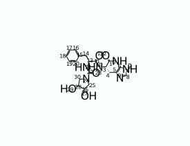 NC(=O)[C@H](Cc1c[nH]cn1)NC(=O)[C@H](Cc1ccccc1)NC(=O)N1C[C@@H](O)[C@@H](O)C1